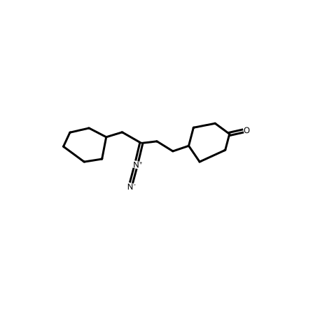 [N-]=[N+]=C(CCC1CCC(=O)CC1)CC1CCCCC1